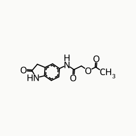 CC(=O)OCC(=O)Nc1ccc2c(c1)CC(=O)N2